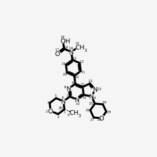 C[C@@H]1COCCN1c1nc(-c2ccc(N(C)C(=O)O)cc2)c2cnn(C3CCOCC3)c2n1